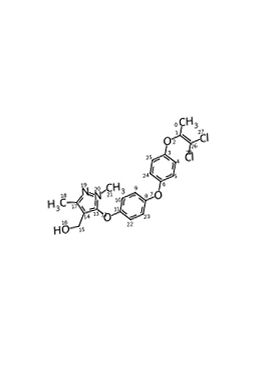 CC(Oc1ccc(Oc2ccc(Oc3c(CO)c(C)nn3C)cc2)cc1)=C(Cl)Cl